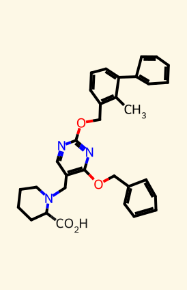 Cc1c(COc2ncc(CN3CCCCC3C(=O)O)c(OCc3ccccc3)n2)cccc1-c1ccccc1